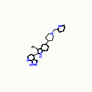 CC(C)c1c(-c2ccnc3[nH]ncc23)[nH]c2ccc(C3CCN(Cc4ccccn4)CC3)cc12